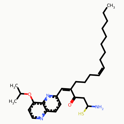 CCCCCCCC/C=C\CCCC(=Cc1ccc2nccc(OC(C)C)c2n1)C(=O)CC(N)S